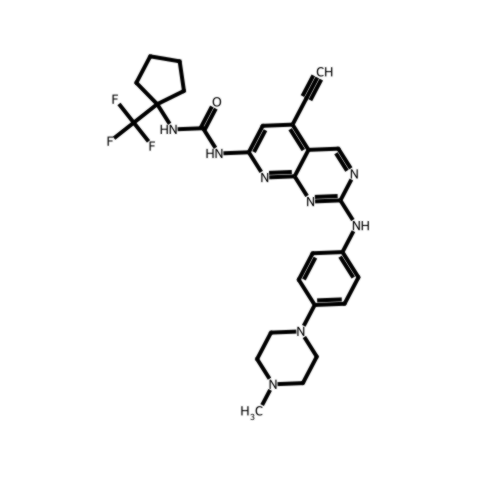 C#Cc1cc(NC(=O)NC2(C(F)(F)F)CCCC2)nc2nc(Nc3ccc(N4CCN(C)CC4)cc3)ncc12